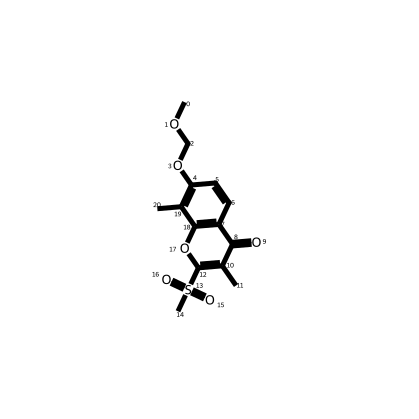 COCOc1ccc2c(=O)c(C)c(S(C)(=O)=O)oc2c1C